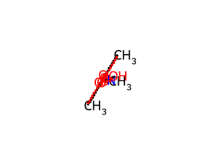 CCCCCCCCC=CCCCCCCCC(=O)OCC(COC(=O)CCCCCCCC=CCCCCCCCC)OC(=O)CCCN(C)CCO